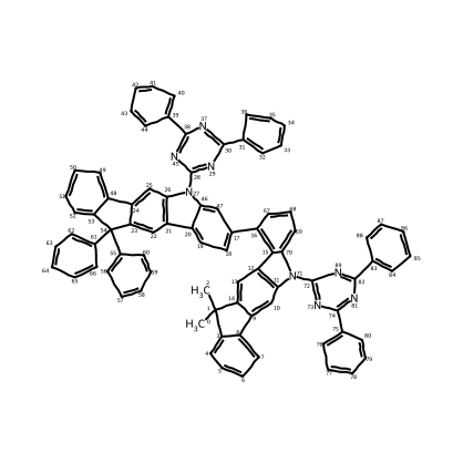 CC1(C)c2ccccc2-c2cc3c(cc21)c1c(-c2ccc4c5cc6c(cc5n(-c5nc(-c7ccccc7)nc(-c7ccccc7)n5)c4c2)-c2ccccc2C6(c2ccccc2)c2ccccc2)cccc1n3-c1nc(-c2ccccc2)nc(-c2ccccc2)n1